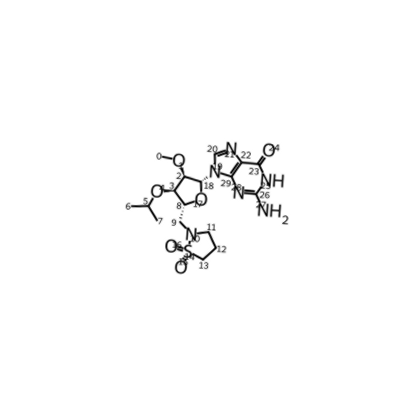 CO[C@@H]1[C@H](OC(C)C)[C@@H](CN2CCCS2(=O)=O)O[C@H]1n1cnc2c(=O)[nH]c(N)nc21